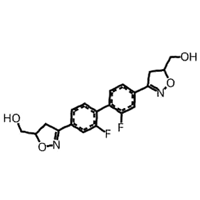 OCC1CC(c2ccc(-c3ccc(C4=NOC(CO)C4)cc3F)c(F)c2)=NO1